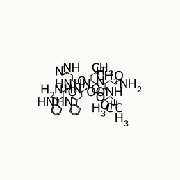 CC(C)CC(NC(=O)C(CCC(N)=O)NC(=O)C(CC(C)C)NC(=O)C(Cc1c[nH]c2ccccc12)NC(=O)C(Cc1cnc[nH]1)NC(=O)C(N)Cc1c[nH]c2ccccc12)C(=O)O